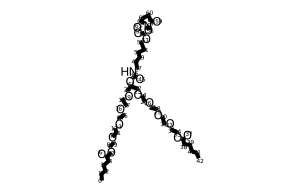 CCCCCC(=O)OCCOCCOCCOCCOCC(COCCOCCOCCOCCOC(=O)CCCCC)OC(=O)NCCCCCCOC(=O)ON1C(=O)CCC1=O